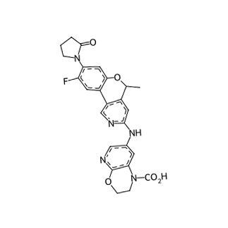 CC1Oc2cc(N3CCCC3=O)c(F)cc2-c2cnc(Nc3cnc4c(c3)N(C(=O)O)CCO4)cc21